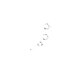 COC(=O)N[C@@H](C)c1ncc(-c2cccc(Nc3cc(C)ccn3)n2)s1